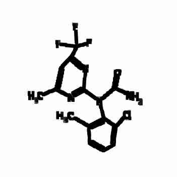 Cc1cc(C(F)(F)F)nc(N(C(N)=O)c2c(C)cccc2Cl)n1